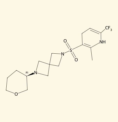 CC1=C(S(=O)(=O)N2CC3(CN([C@@H]4CCCOC4)C3)C2)CC=C(C(F)(F)F)N1